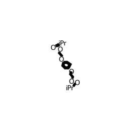 CC(C)C(=O)OCCOc1ccc(OCCOC(=O)C(C)C)cc1